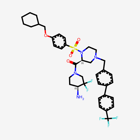 N[C@H]1CCN(C(=O)[C@@H]2CN(Cc3ccc(-c4ccc(C(F)(F)F)cc4)cc3)CCN2S(=O)(=O)c2ccc(OCC3CCCCC3)cc2)CC1(F)F